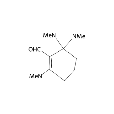 CNC1=C(C=O)C(NC)(NC)CCC1